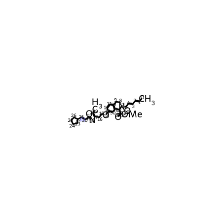 CC=CC=CC(=O)N1CCc2ccc(OCCc3nc(/C=C/C4CCCC4)oc3C)cc2C1C(=O)OC